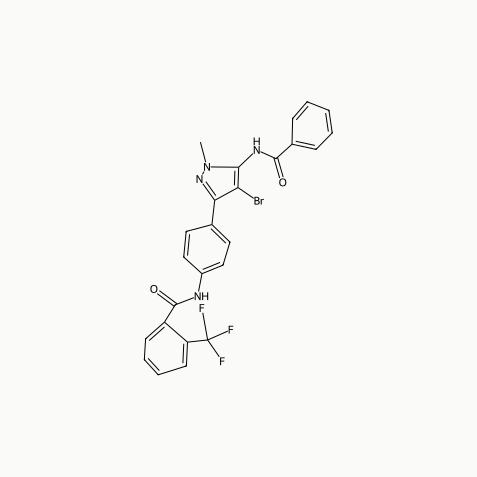 Cn1nc(-c2ccc(NC(=O)c3ccccc3C(F)(F)F)cc2)c(Br)c1NC(=O)c1ccccc1